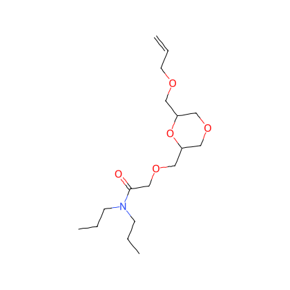 C=CCOCC1COCC(COCC(=O)N(CCC)CCC)O1